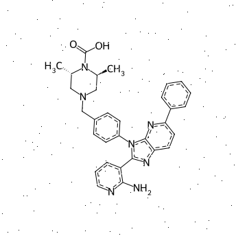 C[C@H]1CN(Cc2ccc(-n3c(-c4cccnc4N)nc4ccc(-c5ccccc5)nc43)cc2)C[C@H](C)N1C(=O)O